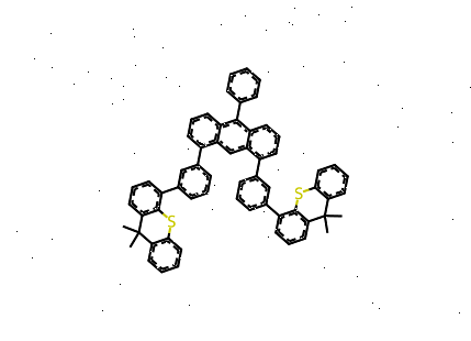 CC1(C)c2ccccc2Sc2c(-c3cccc(-c4cccc5c(-c6ccccc6)c6cccc(-c7cccc(-c8cccc9c8Sc8ccccc8C9(C)C)c7)c6cc45)c3)cccc21